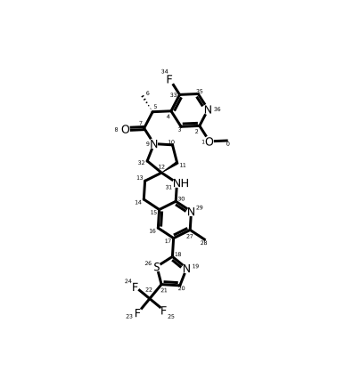 COc1cc([C@@H](C)C(=O)N2CC[C@@]3(CCc4cc(-c5ncc(C(F)(F)F)s5)c(C)nc4N3)C2)c(F)cn1